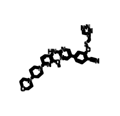 COc1nc(N2CCC(N3CCOCC3)CC2)ccc1Nc1ncc(-c2ccc(C#N)c(OSCn3cnnn3)c2)cn1